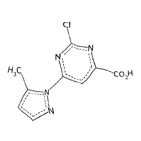 Cc1ccnn1-c1cc(C(=O)O)nc(Cl)n1